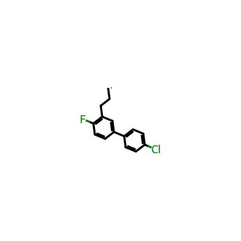 [CH2]CCc1cc(-c2ccc(Cl)cc2)ccc1F